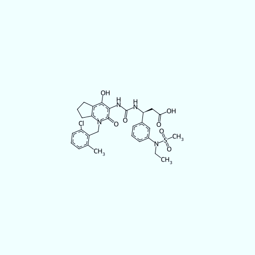 CCN(c1cccc([C@H](CC(=O)O)NC(=O)Nc2c(O)c3c(n(Cc4c(C)cccc4Cl)c2=O)CCC3)c1)S(C)(=O)=O